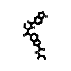 CCC(C)NC(=O)c1cc2c(s1)CCN(C(=O)[C@@H](CC)NC(=O)c1ccc3[nH]ncc3c1)C2